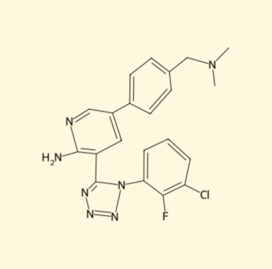 CN(C)Cc1ccc(-c2cnc(N)c(-c3nnnn3-c3cccc(Cl)c3F)c2)cc1